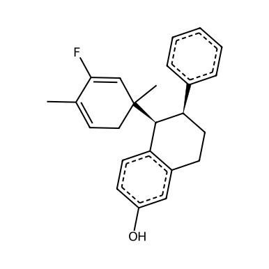 CC1=CCC(C)([C@@H]2c3ccc(O)cc3CC[C@@H]2c2ccccc2)C=C1F